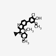 COc1cc(-c2ccc3ncc(C(=O)C4CC4)c(N(C)C4CCN(C)CC4)c3c2)cc(Cl)c1O